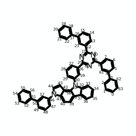 c1ccc(-c2cccc(-c3nc(-c4cccc(-c5ccccc5)c4)nc(-c4cccc(-n5c6ccccc6c6ccc7c(ccn7-c7cccc(-c8ccccc8)c7)c65)c4)n3)c2)cc1